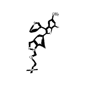 COc1cc(F)c2oc(-c3ccc4c(cnn4COCC[Si](C)(C)C)c3)c(-c3ccsc3)c2c1